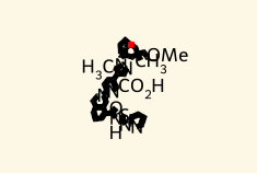 COCCC1(C)CC23CCCC(Cn4ncc(-c5ccc(N6CCc7cccc(C(=O)Nc8nc9ncccc9s8)c7C6)nc5C(=O)O)c4C)(C1)C2C3